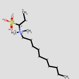 CCCCCCCCCC[N+](C)(C)C(CC)S(=O)(=O)[O-]